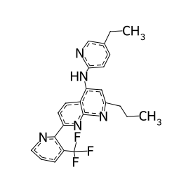 CCCc1cc(Nc2ccc(CC)cn2)c2ccc(-c3ncccc3C(F)(F)F)nc2n1